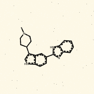 CN1CCC(c2c[nH]c3ccc(-c4nc5ccccc5[nH]4)cc23)CC1